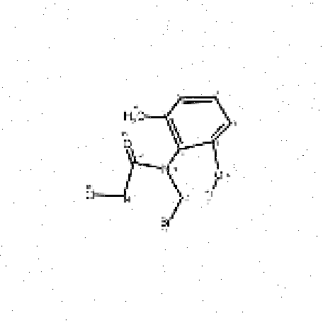 Cc1cccc(OC(C)C)c1N(CBr)C(=O)CCl